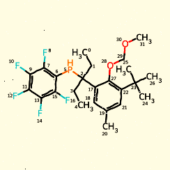 CCC(CC)(Pc1c(F)c(F)c(F)c(F)c1F)c1cc(C)cc(C(C)(C)C)c1OCOC